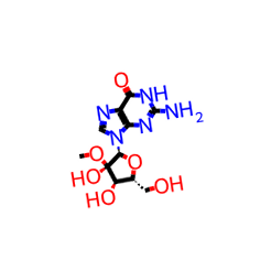 CO[C@@]1(O)[C@H](O)[C@@H](CO)O[C@H]1n1cnc2c(=O)[nH]c(N)nc21